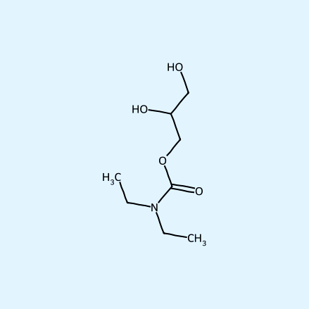 CCN(CC)C(=O)OCC(O)CO